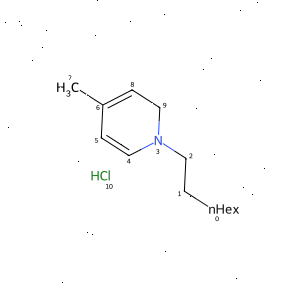 CCCCCCCCN1C=CC(C)=CC1.Cl